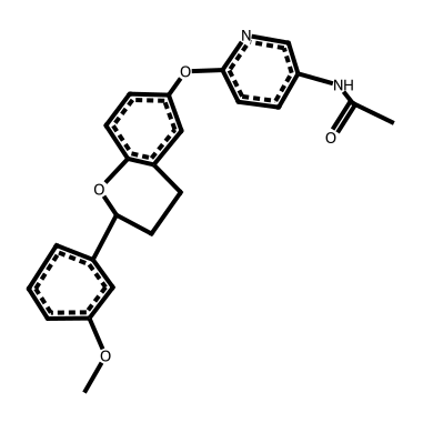 COc1cccc(C2CCc3cc(Oc4ccc(NC(C)=O)cn4)ccc3O2)c1